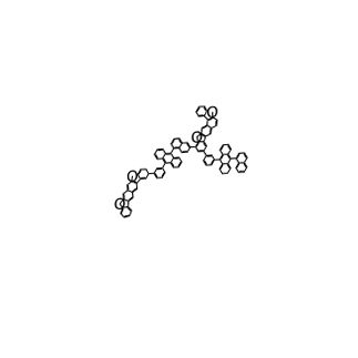 C1=c2oc3cc4cc5oc6ccccc6c5cc4cc3c2=CC(c2cccc(-c3c4ccccc4c(-c4cccc5cc(-c6cc(-c7cccc(-c8c9c(c(-c%10cccc%11ccccc%10%11)c%10ccccc8%10)=CCCC=9)c7)cc7c6oc6cc8c(ccc9oc%10ccccc%10c98)cc67)ccc45)c4ccccc34)c2)C1